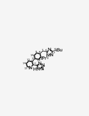 CCCn1nc(C(C)CC)nc1Cc1ccc(-c2cccnc2-c2nnn[nH]2)cc1